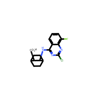 O=C(O)C1C2CCC(CC2)C1Nc1nc(Cl)nc2c(F)cccc12